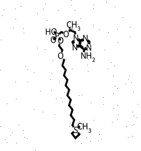 C[C@H](Cn1cnc2c(N)ncnc21)OCP(=O)(O)OCCOCCCCCCCCCCCCCCS1(C)CCC1